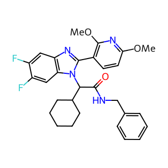 COc1ccc(-c2nc3cc(F)c(F)cc3n2C(C(=O)NCc2ccccc2)C2CCCCC2)c(OC)n1